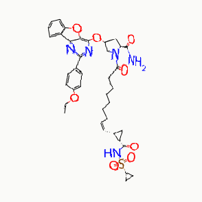 CCOc1ccc(-c2nc(O[C@@H]3C[C@@H](C(N)=O)N(C(=O)CCCCCC/C=C\[C@@H]4C[C@@H]4C(=O)NS(=O)(=O)C4CC4)C3)c3oc4ccccc4c3n2)cc1